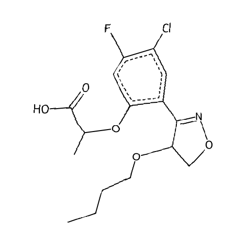 CCCCOC1CON=C1c1cc(Cl)c(F)cc1OC(C)C(=O)O